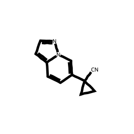 N#CC1(c2ccc3ccnn3c2)CC1